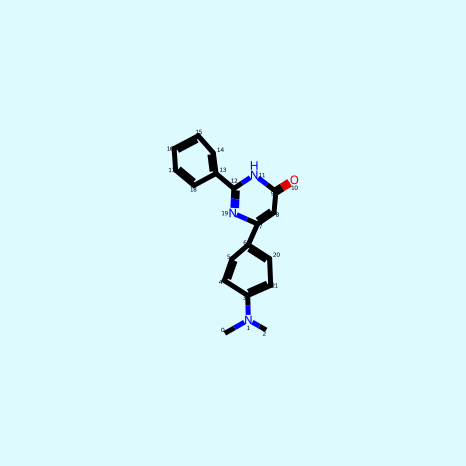 CN(C)c1ccc(-c2cc(=O)[nH]c(-c3ccccc3)n2)cc1